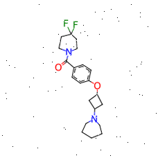 O=C(c1ccc(OC2CC(N3CCCCC3)C2)cc1)N1CCC(F)(F)CC1